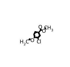 C=COc1ccc(C(=O)OC)cc1Cl